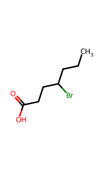 CCCC(Br)CCC(=O)O